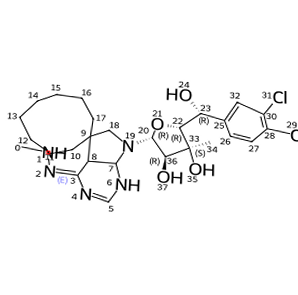 CN/N=C1/N=CNC2C1C1(CCCCCCCC1)CN2[C@@H]1O[C@H]([C@H](O)c2ccc(Cl)c(Cl)c2)[C@@](C)(O)[C@H]1O